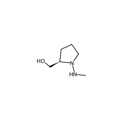 CNN1CCC[C@@H]1CO